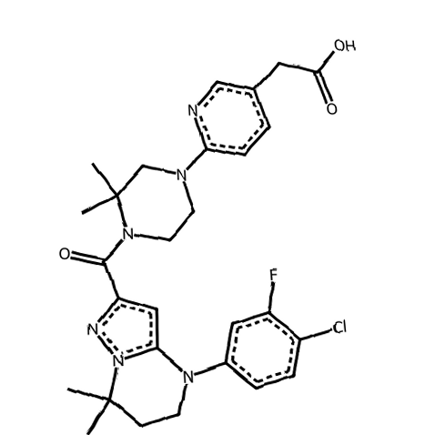 CC1(C)CN(c2ccc(CC(=O)O)cn2)CCN1C(=O)c1cc2n(n1)C(C)(C)CCN2c1ccc(Cl)c(F)c1